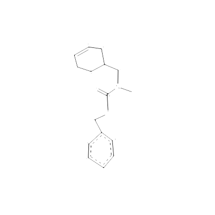 CN(CC1CC=CCC1)C(=O)OCc1ccccc1